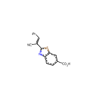 CC(C)/C=C(\C#N)c1nc2ccc(C(=O)O)cc2s1